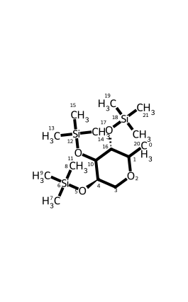 CC1OC[C@@H](O[Si](C)(C)C)C(O[Si](C)(C)C)[C@@H]1O[Si](C)(C)C